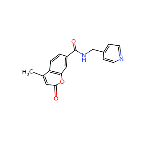 Cc1cc(=O)oc2cc(C(=O)NCc3ccncc3)ccc12